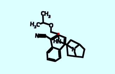 CC(C)OCCNC1CC2CCC(C1)N2c1ccc(C#N)c2ccccc12